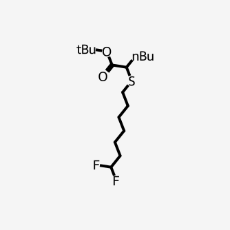 CCCCC(SCCCCCCC(F)F)C(=O)OC(C)(C)C